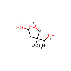 O=S(=O)(O)C(CO)(CO)CCO